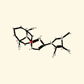 CN1CN(c2csc(N3[C@@H]4CCC[C@H]3COC4)n2)C(Cl)=C1Br